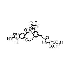 N=C(N)Nc1ccc2c(c1)OCCc1cc(CCC(=O)NC(CC(=O)O)C(=O)O)ccc1OC2=O.O=C(O)C(F)(F)F